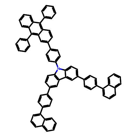 c1ccc(-c2c3ccccc3c(-c3ccccc3)c3cc(-c4ccc(-n5c6ccc(-c7ccc(-c8cccc9ccccc89)cc7)cc6c6cc(-c7ccc(-c8cccc9ccccc89)cc7)ccc65)cc4)ccc23)cc1